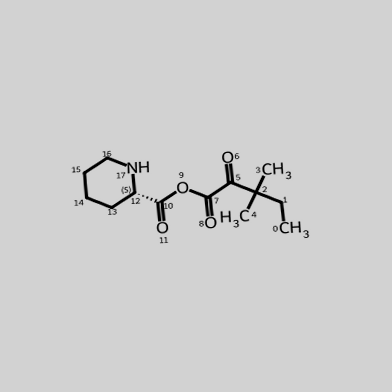 CCC(C)(C)C(=O)C(=O)OC(=O)[C@@H]1CCCCN1